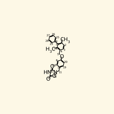 Cc1ccc(COc2ccc(Cn3oc(=O)[nH]c3=O)cc2)c(C)c1-c1ccccc1